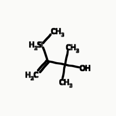 C=C([SiH2]C)C(C)(C)O